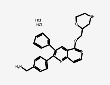 Cl.Cl.NCc1ccc(-c2nc3ccnc(OCC4CNCCO4)c3cc2-c2ccccc2)cc1